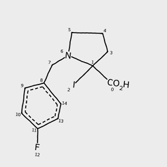 O=C(O)C1(I)CCCN1Cc1ccc(F)cc1